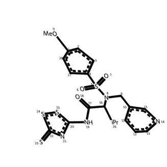 COc1ccc(S(=O)(=O)N(Cc2cccnc2)C(C(=O)Nc2nc(=S)ss2)C(C)C)cc1